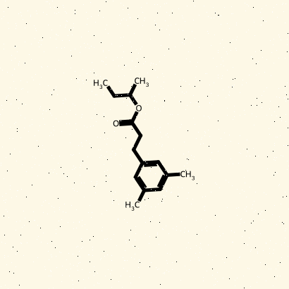 CCC(C)OC(=O)CCc1cc(C)[c]c(C)c1